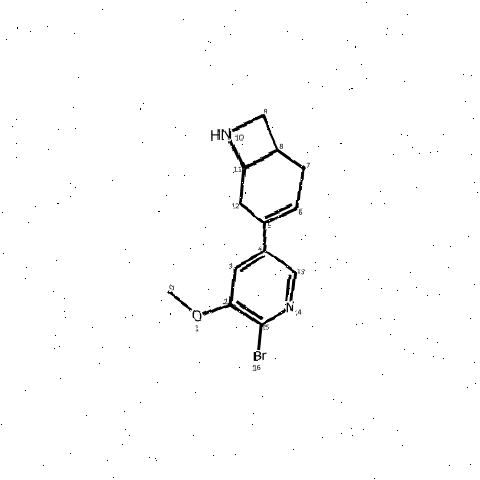 COc1cc(C2=CCC3CNC3C2)cnc1Br